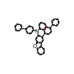 c1ccc(-c2ccc(-c3cc4c(cc3N(c3ccccc3)c3ccc(-c5ccccc5)cc3)oc3ccccc34)cc2)cc1